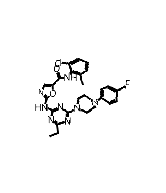 CCc1nc(Nc2ncc(C(=O)Nc3c(C)cccc3Cl)o2)nc(N2CCN(c3ccc(F)cc3)CC2)n1